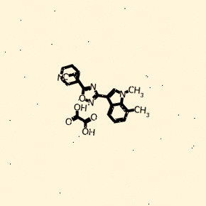 Cc1cccc2c(-c3noc(C4CN5CCC4CC5)n3)cn(C)c12.O=C(O)C(=O)O